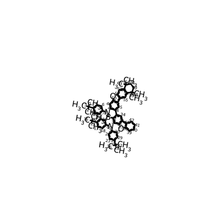 CC(C)(C)c1ccc(N2B3c4cc(C(C)(C)C)ccc4N(c4ccc(C(C)(C)C)cc4)c4c3c(cc3c4oc4ccccc43)-c3cc4c(cc32)oc2cc3c(cc24)C(C)(C)CCC3(C)C)cc1